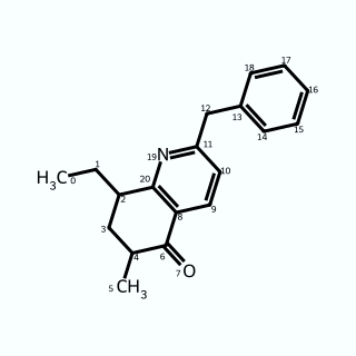 CCC1CC(C)C(=O)c2ccc(Cc3ccccc3)nc21